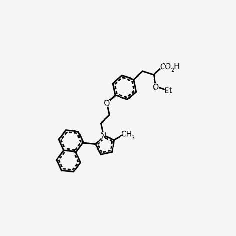 CCOC(Cc1ccc(OCCn2c(C)ccc2-c2cccc3ccccc23)cc1)C(=O)O